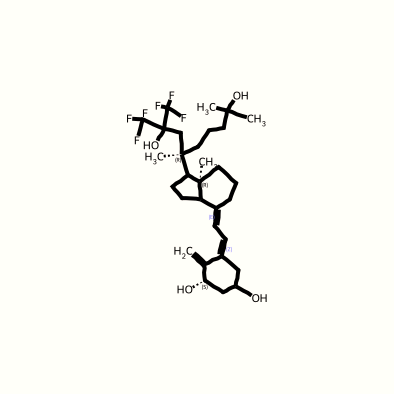 C=C1/C(=C\C=C2/CCC[C@@]3(C)C2CCC3[C@](C)(CCCC(C)(C)O)CC(O)(C(F)(F)F)C(F)(F)F)CC(O)C[C@@H]1O